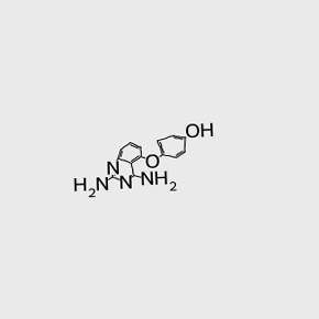 Nc1nc(N)c2c(Oc3ccc(O)cc3)cccc2n1